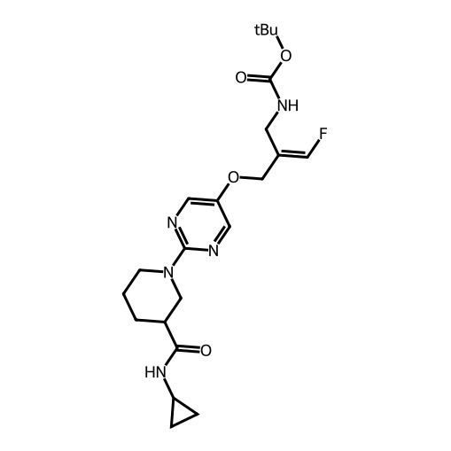 CC(C)(C)OC(=O)NC/C(=C\F)COc1cnc(N2CCCC(C(=O)NC3CC3)C2)nc1